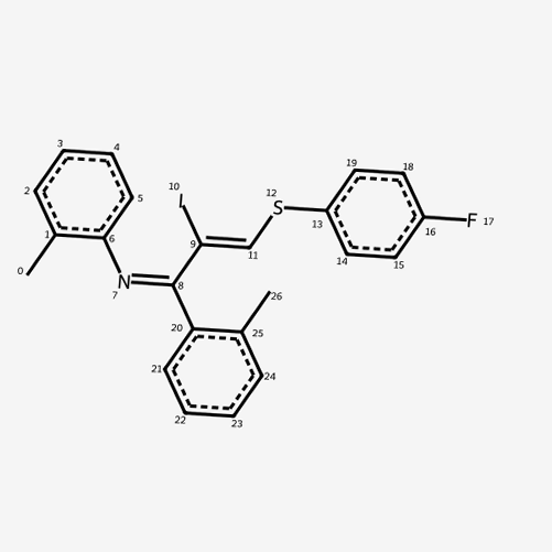 Cc1ccccc1N=C(C(I)=CSc1ccc(F)cc1)c1ccccc1C